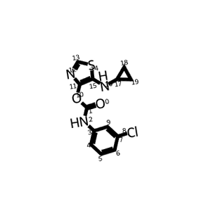 O=C(Nc1cccc(Cl)c1)Oc1ncsc1NC1CC1